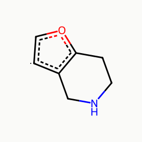 [c]1coc2c1CNCC2